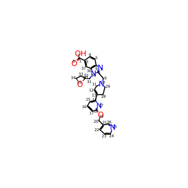 O=C(O)c1ccc2nc(CN3CC=C(c4cccc(OCc5cccnc5)n4)CC3)n(C[C@@H]3CCO3)c2c1